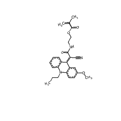 C=C(C)C(=O)OCCNC(=O)/C(C#N)=C1\c2ccccc2N(CCC)c2ccc(OC)cc21